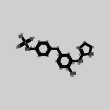 CCS(=O)(=O)Nc1ccc(Cc2ccc(O)c(NC3=NCCN3)c2)cc1